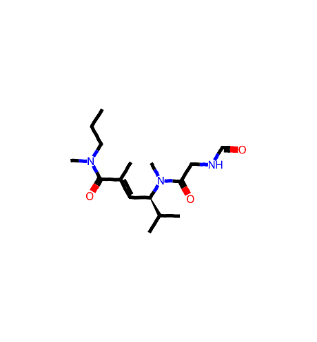 CCCN(C)C(=O)/C(C)=C/[C@H](C(C)C)N(C)C(=O)CNC=O